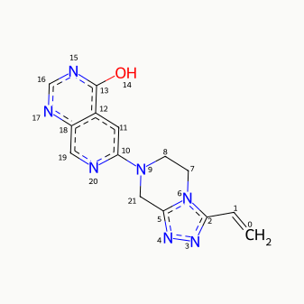 C=Cc1nnc2n1CCN(c1cc3c(O)ncnc3cn1)C2